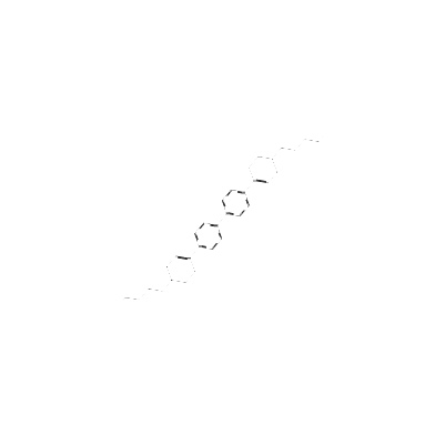 CCCCCC1CC=C(c2ccc(-c3ccc(C4=CCC(CCCCC)CC4)cc3)cc2)CC1